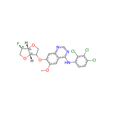 COc1cc2c(Nc3ccc(Cl)c(Cl)c3Cl)ncnc2cc1OC1CO[C@H]2[C@H](F)CO[C@@H]12